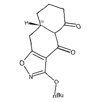 CCCCOc1noc2c1C(=O)C1C(=O)CCC[C@H]1C2